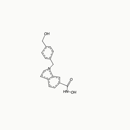 O=C(NO)c1ccc2ccn(Cc3ccc(CO)cc3)c2c1